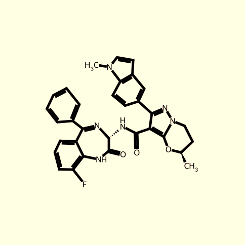 C[C@@H]1CCn2nc(-c3ccc4c(ccn4C)c3)c(C(=O)N[C@H]3N=C(c4ccccc4)c4cccc(F)c4NC3=O)c2O1